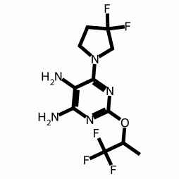 CC(Oc1nc(N)c(N)c(N2CCC(F)(F)C2)n1)C(F)(F)F